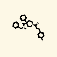 CN(Cc1ccccc1)C(=O)C1(c2ccccc2)CCN(C(=O)CCc2ccc(F)cc2)CC1